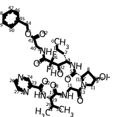 CCC[C@H](NC(=O)[C@@H]1C[C@@H](O)CN1C(=O)CNC(=O)[C@@H](NC(=O)c1cnccn1)C(C)C)C(O)C(F)(F)C(=O)NCC(=O)OCc1ccccc1